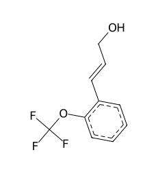 OCC=Cc1ccccc1OC(F)(F)F